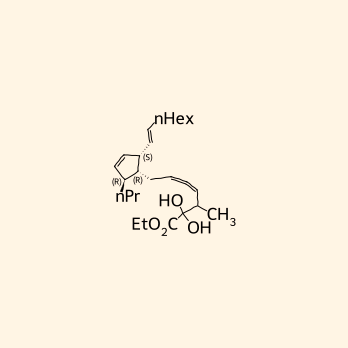 CCCCCCC=C[C@H]1C=C[C@H](CCC)[C@H]1CC=C=CC(C)C(O)(O)C(=O)OCC